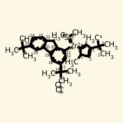 CC1C=C(C(C)(C)C)C=[C]1[Zr+2]([c]1cc(C(C)(C)C)cc2c1Cc1ccc(C(C)(C)C)cc1-2)=[Si](C)C.[Cl-].[Cl-]